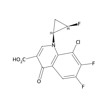 O=C(O)c1cn([C@H]2C[C@H]2F)c2c(Cl)c(F)c(F)cc2c1=O